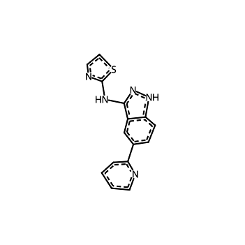 c1ccc(-c2ccc3[nH]nc(Nc4nccs4)c3c2)nc1